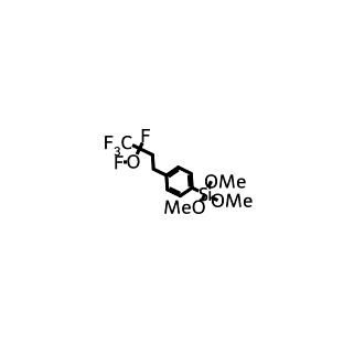 CO[Si](OC)(OC)c1ccc(CCC(F)(OF)C(F)(F)F)cc1